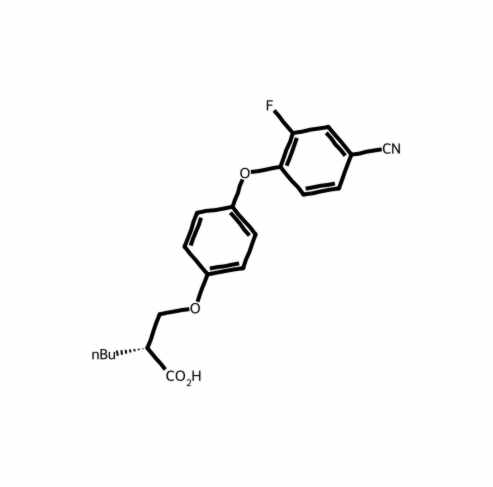 CCCC[C@H](COc1ccc(Oc2ccc(C#N)cc2F)cc1)C(=O)O